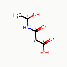 [CH2]C(O)NC(=O)CC(=O)O